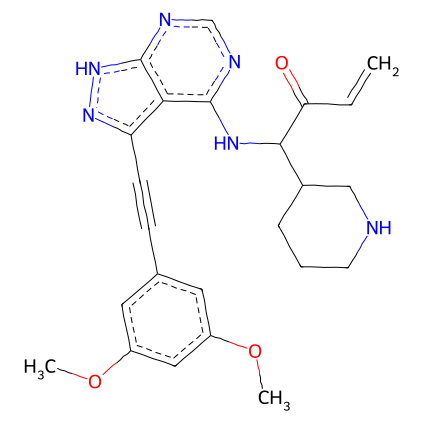 C=CC(=O)C(Nc1ncnc2[nH]nc(C#Cc3cc(OC)cc(OC)c3)c12)C1CCCNC1